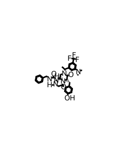 CC(c1cc(N(C)C)cc(C(F)(F)F)c1)N1C[C@H]2N(C(=O)CN(C)N2C(=O)NCc2ccccc2)[C@@H](Cc2ccc(O)cc2)C1=O